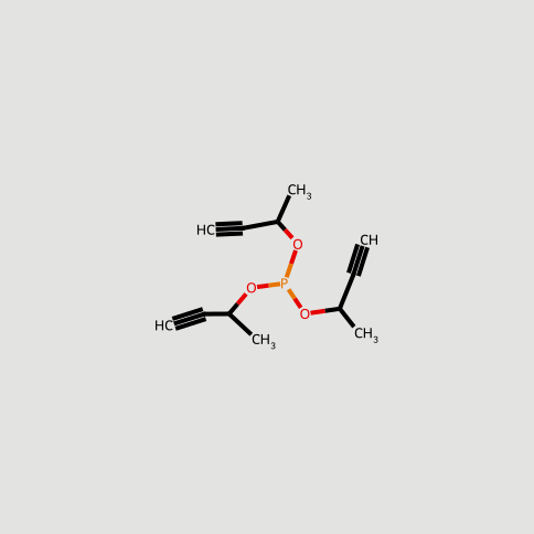 C#CC(C)OP(OC(C)C#C)OC(C)C#C